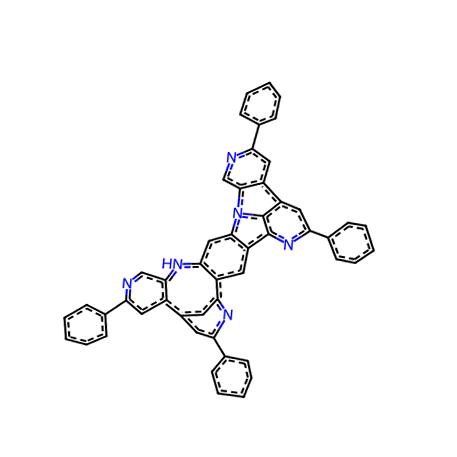 c1ccc(-c2cc3c4cc(-c5ccccc5)nc(c4)c4cc5c6nc(-c7ccccc7)cc7c8cc(-c9ccccc9)ncc8n(c5cc4[nH]c3cn2)c76)cc1